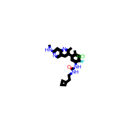 CNc1cc2nc(C)c(-c3cc(NC(=O)NCCC4CCC4)c(F)cc3C)cc2cn1.Cl